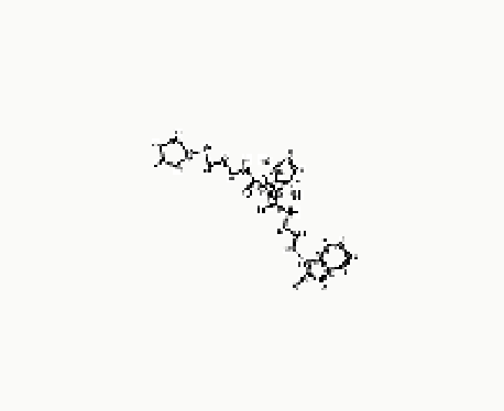 Cc1cc2ccccc2n1CCCNC(=O)[C@H]1[C@H](C(=O)NCCCCN2CCCC2)[C@H]2C=C[C@@H]1C21CC1